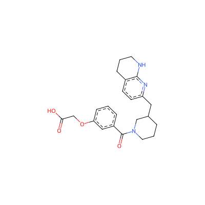 O=C(O)COc1cccc(C(=O)N2CCCC(Cc3ccc4c(n3)NCCC4)C2)c1